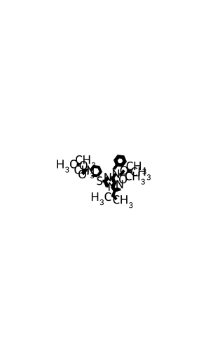 CC(C)c1cnc2c(N(Cc3ccccc3)C(=O)OC(C)(C)C)nc(SC3CCCN(C(=O)OC(C)(C)C)C3)cn12